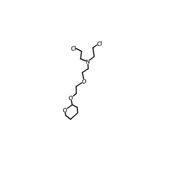 ClCCN(CCCl)CCOCCOC1CCCCO1